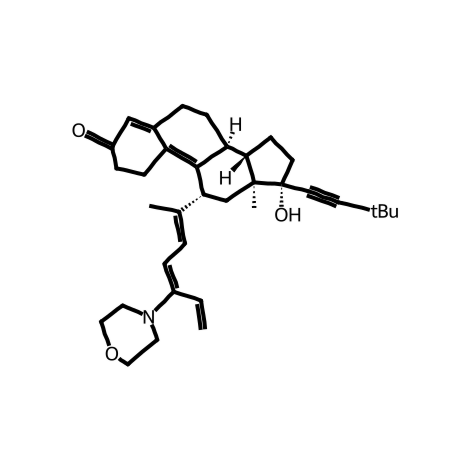 C=C/C(=C\C=C(/C)[C@H]1C[C@@]2(C)[C@@H](CC[C@@]2(O)C#CC(C)(C)C)[C@@H]2CCC3=CC(=O)CCC3=C21)N1CCOCC1